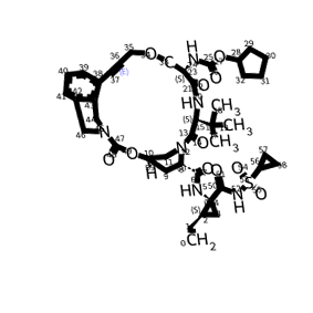 C=C[C@@H]1C[C@]1(NC(=O)[C@@H]1C[C@@H]2CN1C(=O)[C@H](C(C)(C)C)NC(=O)[C@@H](NC(=O)OC1CCCC1)COC/C=C/c1cccc3c1CN(C3)C(=O)O2)C(=O)NS(=O)(=O)C1CC1